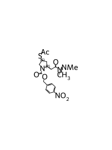 CNN(C)C(=O)C[C@@H]1C[C@H](SC(C)=O)CN1C(=O)OCc1ccc([N+](=O)[O-])cc1